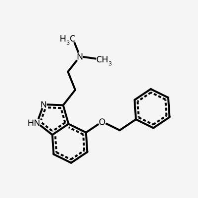 CN(C)CCc1n[nH]c2cccc(OCc3ccccc3)c12